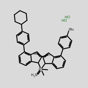 CCC1=Cc2c(-c3ccc(C4CCCCC4)cc3)cccc2[CH]1[Zr]([CH3])([CH3])(=[SiH2])[CH]1C(C(C)CC)=Cc2c(-c3ccc(C(C)(C)C)cc3)cccc21.Cl.Cl